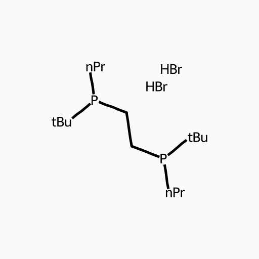 Br.Br.CCCP(CCP(CCC)C(C)(C)C)C(C)(C)C